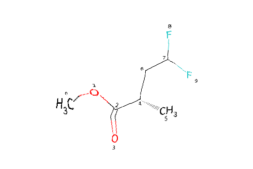 COC(=O)[C@@H](C)CC(F)F